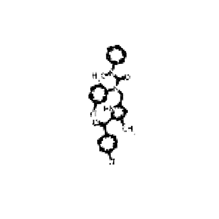 Cc1cc(CN(C(=O)N(C)c2ccccc2)c2cccc(Cl)c2)[nH]c1C(=O)c1ccc(Cl)cc1